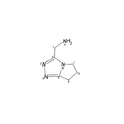 NCc1nnc2n1CCC2